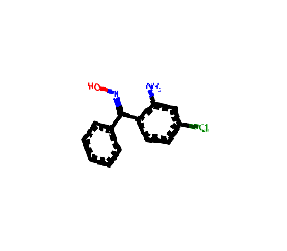 Nc1cc(Cl)ccc1/C(=N/O)c1ccccc1